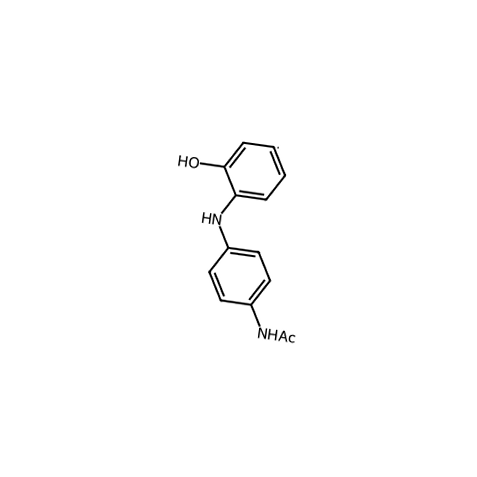 CC(=O)Nc1ccc(Nc2cc[c]cc2O)cc1